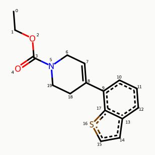 CCOC(=O)N1CC=C(c2cccc3ccsc23)CC1